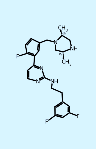 C[C@H]1CN(Cc2ccc(F)c(-c3ccnc(NCCc4cc(F)cc(F)c4)n3)c2)[C@@H](C)CN1